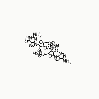 COC1C2COP(=O)(S)OC3C(COP(=O)(S)OC1C(n1cnc4c(=O)[nH]c(N)nc41)O2)OC(n1ccc2c(N)ncnc21)C3O